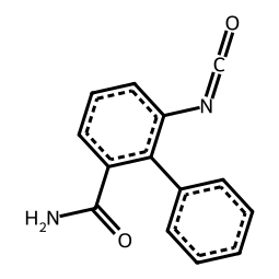 NC(=O)c1cccc(N=C=O)c1-c1ccccc1